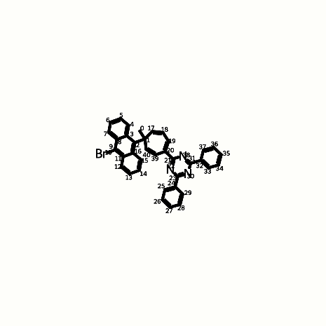 CC1(c2c3ccccc3c(Br)c3ccccc23)C=CC=C(c2nc(-c3ccccc3)nc(-c3ccccc3)n2)C=C1